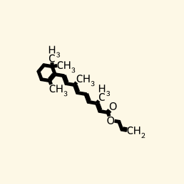 C=CCOC(=O)/C=C(C)/C=C/C=C(C)/C=C/C1=C(C)CCCC1(C)C